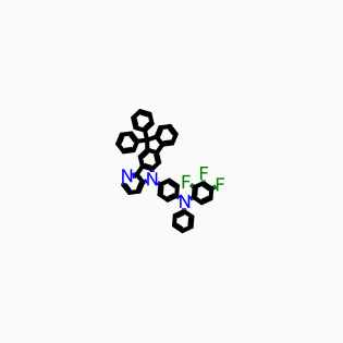 Fc1ccc(N(c2ccccc2)c2ccc(-n3c4cc5c(cc4c4ncccc43)C(c3ccccc3)(c3ccccc3)c3ccccc3-5)cc2)c(F)c1F